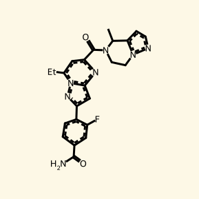 CCc1cc(C(=O)N2CCn3nccc3C2C)nc2cc(-c3ccc(C(N)=O)cc3F)nn12